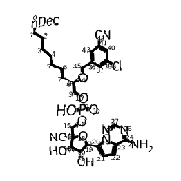 CCCCCCCCCCCCCCCCC[C@H](COP(=O)(O)OC[C@@]1(C#N)O[C@@H](c2ccc3c(N)ncnn23)[C@H](O)[C@@H]1O)OCc1cc(Cl)cc(C#N)c1